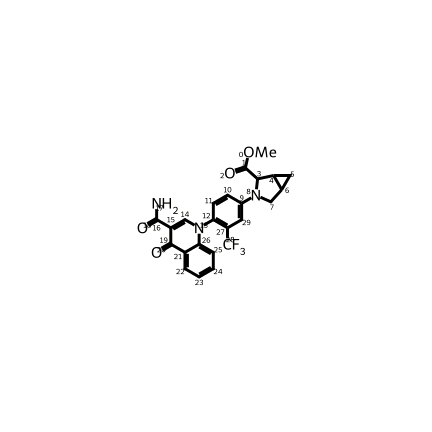 COC(=O)C1C2CC2CN1c1ccc(-n2cc(C(N)=O)c(=O)c3ccccc32)c(C(F)(F)F)c1